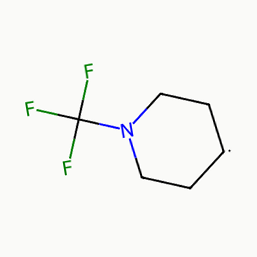 FC(F)(F)N1CC[CH]CC1